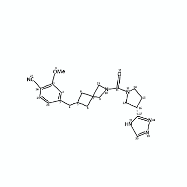 COc1cc(CC2CC3(C2)CN(C(=O)N2CC[C@H](c4nnc[nH]4)C2)C3)ccc1C#N